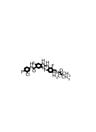 CC(C)(C)C(=O)NCc1ccc(F)c(Nc2nc3cc(C(=O)Nc4ccc(F)c(Cl)c4)c(F)cc3[nH]2)c1F